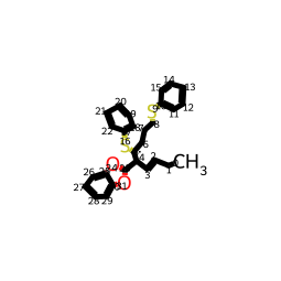 CCC=CC([C](CCCSc1ccccc1)Sc1ccccc1)C1Oc2ccccc2O1